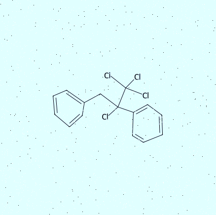 ClC(Cl)(Cl)C(Cl)(Cc1ccccc1)c1ccccc1